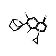 O=c1ccn(C2CC2)c2c(F)c(N3CC4CCC3CN4)c(F)cc12